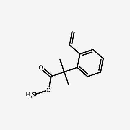 C=Cc1ccccc1C(C)(C)C(=O)O[SiH3]